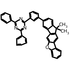 CC1(C)c2ccc(-c3cccc(-c4nc(-c5ccccc5)nc(-c5ccccc5)n4)c3)cc2-c2cc3oc4ccccc4c3cc21